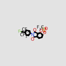 O=C1c2cccc(OS(=O)(=O)C(F)(F)F)c2C(=O)N1c1ccc(C(F)(C(F)(F)F)C(F)(F)F)cc1